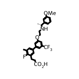 COc1cccc([C@@H](C)NCCOc2cc(-c3cc(C)c(F)c(CCC(=O)O)c3)cc(C(F)(F)F)c2)c1